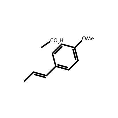 CC(=O)O.CC=Cc1ccc(OC)cc1